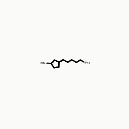 CCCCCCC1CCC(CCCCCNC)C1